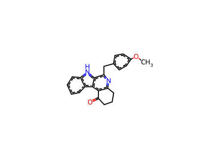 COc1ccc(Cc2nc3c(c4c2[nH]c2ccccc24)C(=O)CCC3)cc1